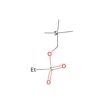 CCS(=O)(=O)OC[Si](C)(C)C